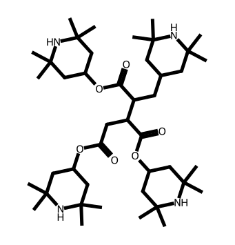 CC1(C)CC(CC(C(=O)OC2CC(C)(C)NC(C)(C)C2)C(CC(=O)OC2CC(C)(C)NC(C)(C)C2)C(=O)OC2CC(C)(C)NC(C)(C)C2)CC(C)(C)N1